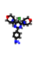 Nc1ccc(-c2nc(N3C4CCC3COC4)c(Cl)c(N3C4CCC3COC4)n2)cc1